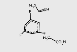 CC(=O)O.Fc1cc(F)cc(F)c1.N=CN